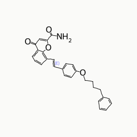 NC(=O)c1cc(=O)c2cccc(/C=C/c3ccc(OCCCCc4ccccc4)cc3)c2o1